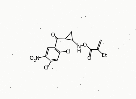 C=C(CC)C(=O)ONC1CC1C(=O)c1cc([N+](=O)[O-])c(Cl)cc1Cl